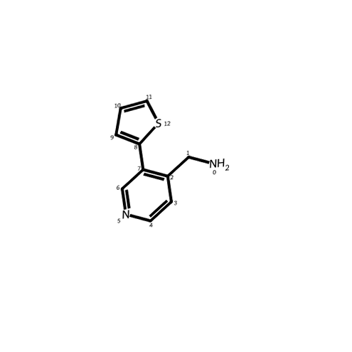 NCc1ccncc1-c1cccs1